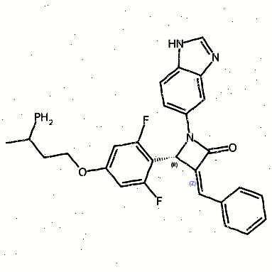 CC(P)CCOc1cc(F)c([C@H]2/C(=C/c3ccccc3)C(=O)N2c2ccc3[nH]cnc3c2)c(F)c1